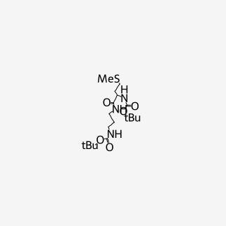 CSCCC(NC(=O)OC(C)(C)C)C(=O)NCCCNC(=O)OC(C)(C)C